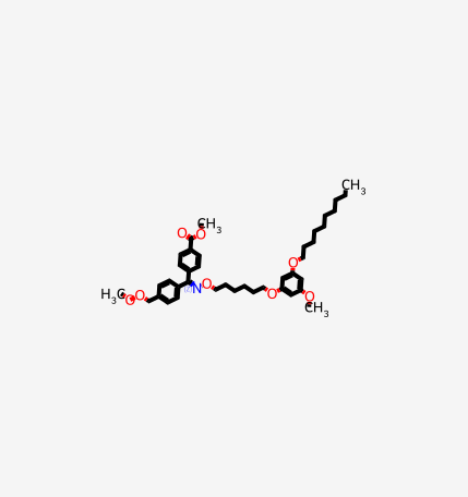 CCCCCCCCCCOc1cc(OC)cc(OCCCCCCO/N=C(/c2ccc(COOC)cc2)c2ccc(C(=O)OC)cc2)c1